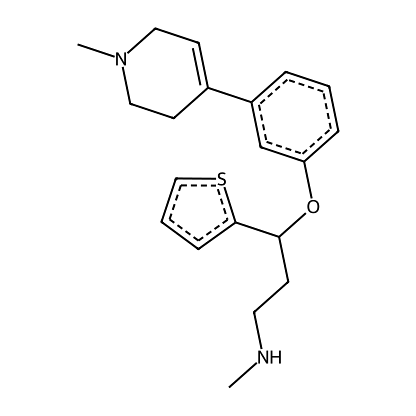 CNCCC(Oc1cccc(C2=CCN(C)CC2)c1)c1cccs1